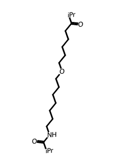 CC(C)C(=O)CCCCCOCCCCCCCNC(=O)C(C)C